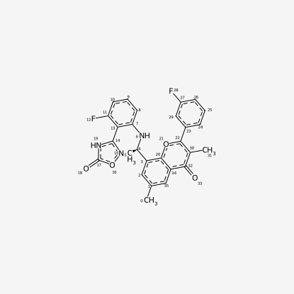 Cc1cc([C@@H](C)Nc2cccc(F)c2-c2noc(=O)[nH]2)c2oc(-c3cccc(F)c3)c(C)c(=O)c2c1